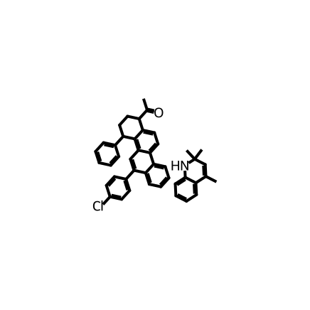 CC(=O)C1CCC(c2ccccc2)c2c1ccc1c2cc(-c2ccc(Cl)cc2)c2ccccc21.CC1=CC(C)(C)Nc2ccccc21